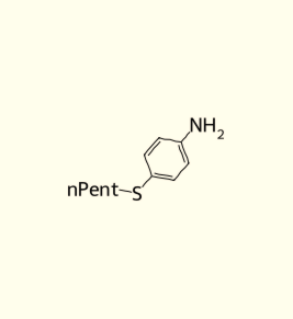 CCCCCSc1ccc(N)cc1